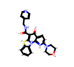 O=C(NCc1ccncc1)c1c(=O)c2ccc(N3CCOCC3)nc2n2c1sc1ccccc12